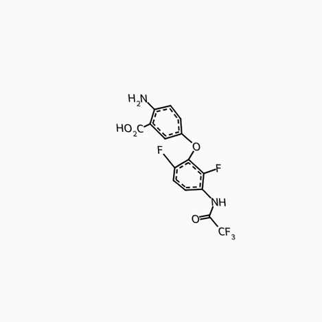 Nc1ccc(Oc2c(F)ccc(NC(=O)C(F)(F)F)c2F)cc1C(=O)O